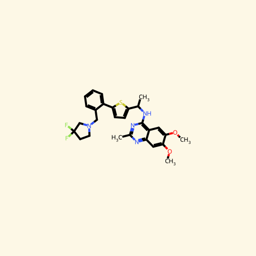 COc1cc2nc(C)nc(NC(C)c3ccc(-c4ccccc4CN4CCC(F)(F)C4)s3)c2cc1OC